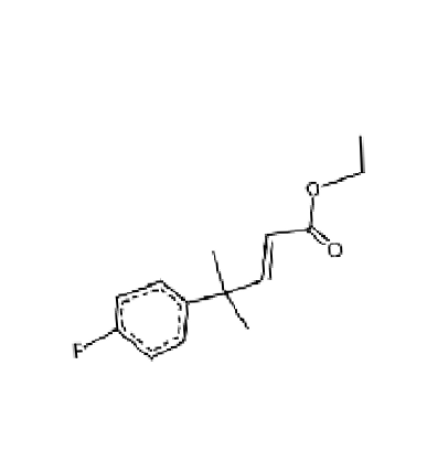 CCOC(=O)/C=C/C(C)(C)c1ccc(F)cc1